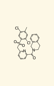 Cc1cc(Cl)c(S(=O)(=O)Cc2cccc(C(=O)N3CCc4ccccc4C3)n2)cc1Cl